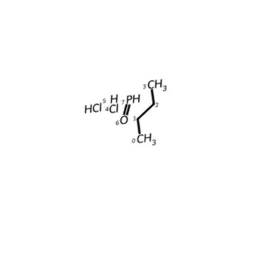 CCCC.Cl.Cl.O=P